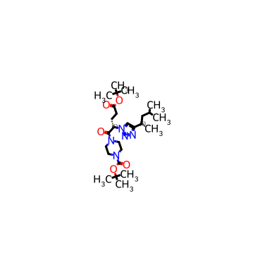 CC(C)C[C@H](C)c1cn([C@@H](CCC(=O)OC(C)(C)C)C(=O)N2CCN(C(=O)OC(C)(C)C)CC2)nn1